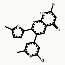 Cc1cc(-c2cc3c(=O)cc(Br)[nH]c3nc2-c2ccc(C)o2)cc(Cl)n1